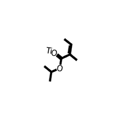 CC=C(C)C(=O)OC(C)C.[Ti]